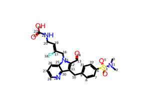 CN(C)S(=O)(=O)c1ccc(Cc2c(C=O)n(C/C(F)=C/CNC(=O)O)c3cccnc23)cc1